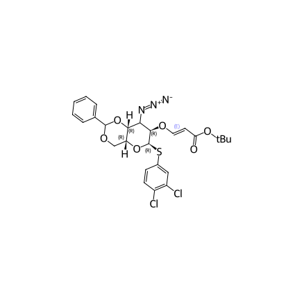 CC(C)(C)OC(=O)/C=C/O[C@@H]1C(N=[N+]=[N-])[C@H]2OC(c3ccccc3)OC[C@H]2O[C@@H]1Sc1ccc(Cl)c(Cl)c1